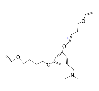 C=COCC/C=C/Oc1cc(CN(C)C)cc(OCCCCOC=C)c1